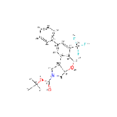 CC(C)(C)OC(=O)N1CC2OCc3c(cc(-c4ccccc4)cc3C(F)(F)F)C2C1